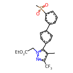 CCOC(=O)Cn1nc(C(F)(F)F)c(C)c1-c1ccc(-c2cccc(S(C)(=O)=O)c2)cc1